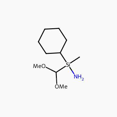 COC(OC)[Si](C)(N)C1CCCCC1